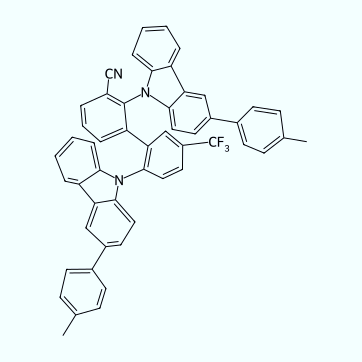 Cc1ccc(-c2ccc3c(c2)c2ccccc2n3-c2ccc(C(F)(F)F)cc2-c2cccc(C#N)c2-n2c3ccccc3c3cc(-c4ccc(C)cc4)ccc32)cc1